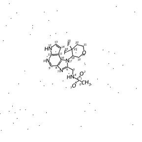 CS(=O)(=O)NCc1nc2cnc3[nH]ccc3c2n1C1COCCC1(F)F